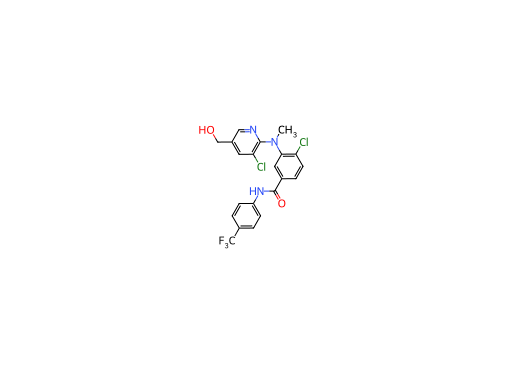 CN(c1cc(C(=O)Nc2ccc(C(F)(F)F)cc2)ccc1Cl)c1ncc(CO)cc1Cl